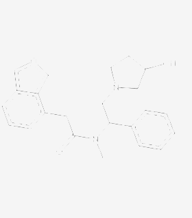 CN(C(=O)Cc1cccc2cocc12)C(CN1CCC(O)C1)c1ccccc1